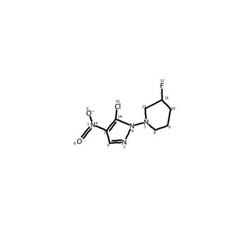 O=[N+]([O-])c1cnn(N2CCCC(F)C2)c1Cl